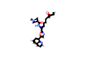 CCC(=O)CCCCCC(NC(=O)C1CN(C)C1)c1ncc(-c2cccc3cccnc23)o1